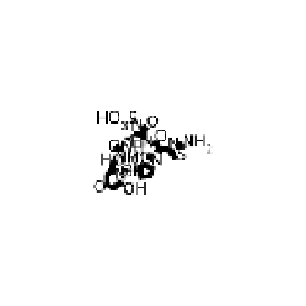 Nc1nc(C(=NOC2(C(=O)O)CCCC2)C(=O)N[C@@H]2C(=O)N(S(=O)(=O)O)[C@H]2CNC(=O)NCc2cc(=O)cc(O)n2O)cs1